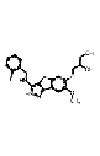 COc1cc2c(cc1OCC(O)CO)Cc1c-2n[nH]c1NCc1ccccc1F